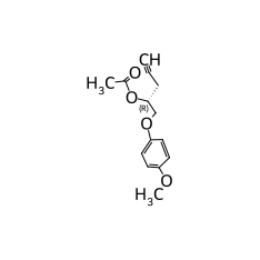 C#CC[C@H](COc1ccc(OC)cc1)OC(C)=O